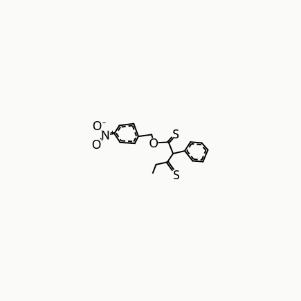 CCC(=S)C(C(=S)OCc1ccc([N+](=O)[O-])cc1)c1ccccc1